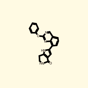 O=C1NCCc2[nH]c(-c3cccc4cnc(Oc5ccccc5)nc34)cc21